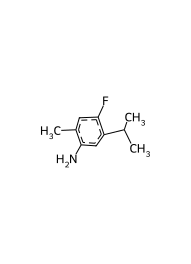 Cc1cc(F)c(C(C)C)cc1N